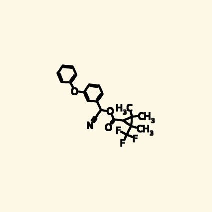 CC1(C)C(C(=O)OC(C#N)c2cccc(Oc3ccccc3)c2)C1(C)C(F)(F)F